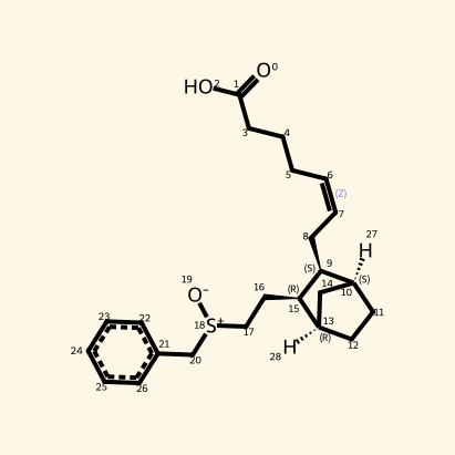 O=C(O)CCC/C=C\C[C@H]1[C@H]2CC[C@H](C2)[C@H]1CC[S+]([O-])Cc1ccccc1